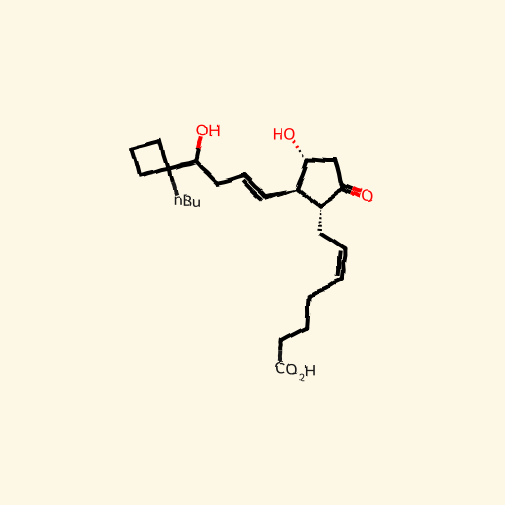 CCCCC1(C(O)CC=C[C@H]2[C@H](O)CC(=O)[C@@H]2C/C=C\CCCC(=O)O)CCC1